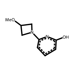 COC1CN(c2cccc(O)n2)C1